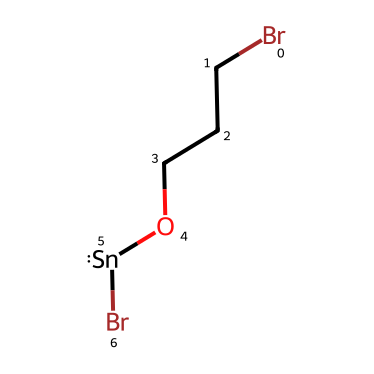 BrCCC[O][Sn][Br]